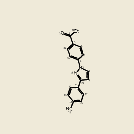 CCC(=O)c1ccc(-n2ccc(-c3ccc(C#N)cc3)n2)cc1